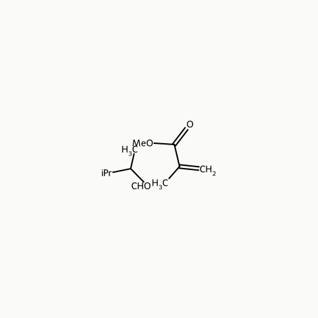 C=C(C)C(=O)OC.CC(C)C(C)C=O